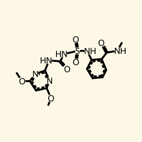 CNC(=O)c1ccccc1NS(=O)(=O)NC(=O)Nc1nc(OC)cc(OC)n1